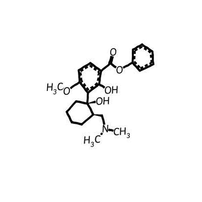 COc1ccc(C(=O)Oc2ccccc2)c(O)c1[C@@]1(O)CCCC[C@@H]1CN(C)C